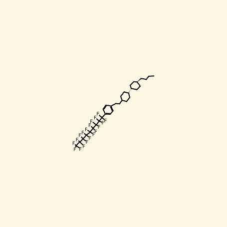 CCCC[C@H]1CC[C@H](C2CCC(CCc3ccc(C(F)(F)C(F)(F)C(F)(F)C(F)(F)C(F)(F)C(F)(F)C(F)(F)C(F)(F)C(F)(F)F)cc3)CC2)CC1